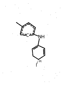 Cc1ccc(NC2=CC[C@@H](I)C=C2)cc1